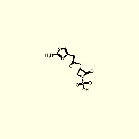 Nc1nc(CC(=O)N[C@H]2CN(S(=O)(=O)O)C2=O)cs1